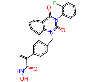 C=C(C(=O)NO)c1ccc(Cn2c(=O)n(-c3ccccc3F)c(=O)c3ccccc32)cc1